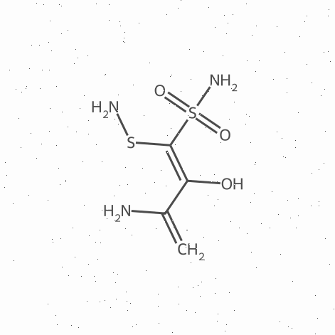 C=C(N)/C(O)=C(\SN)S(N)(=O)=O